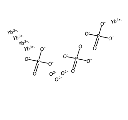 O=P([O-])([O-])[O-].O=P([O-])([O-])[O-].O=P([O-])([O-])[O-].[O-2].[O-2].[O-2].[Yb+3].[Yb+3].[Yb+3].[Yb+3].[Yb+3]